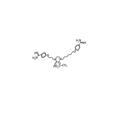 CC(=O)O.N=C(N)c1ccc(OCCCCCCN2CCN(CCCOc3ccc(C(=N)N)cc3)C(=O)C2=O)cc1